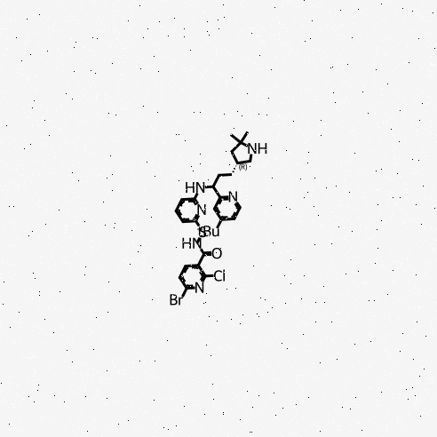 CC1(C)C[C@@H](CCC(Nc2cccc(SNC(=O)c3ccc(Br)nc3Cl)n2)c2cc(C(C)(C)C)ccn2)CN1